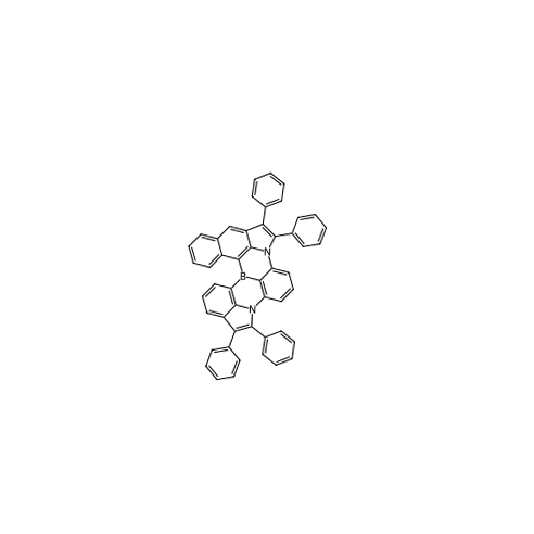 c1ccc(-c2c(-c3ccccc3)n3c4c(cccc24)B2c4c-3cccc4-n3c(-c4ccccc4)c(-c4ccccc4)c4cc5ccccc5c2c43)cc1